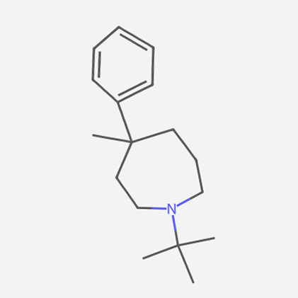 CC1(c2ccccc2)CCCN(C(C)(C)C)CC1